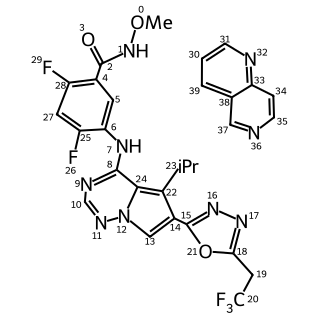 CONC(=O)c1cc(Nc2ncnn3cc(-c4nnc(CC(F)(F)F)o4)c(C(C)C)c23)c(F)cc1F.c1cnc2ccncc2c1